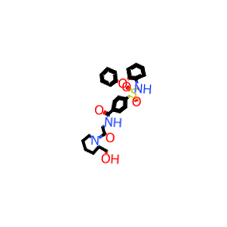 O=C(NCC(=O)N1CCCCC1CO)c1ccc(S(=O)(=O)Nc2ccccc2Oc2ccccc2)cc1